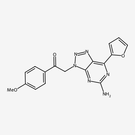 COc1ccc(C(=O)Cn2nnc3c(-c4ccco4)nc(N)nc32)cc1